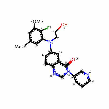 COc1cc(OC)c(F)c(N(CCO)c2ccc3ncn(-c4cccnc4)c(=O)c3c2)c1